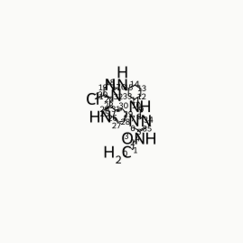 C=CC(=O)Nc1cnc(CN[C@H]2CCC[C@@H](Nc3ncc(Cl)c(-c4c[nH]c5ccccc45)n3)C2)nc1